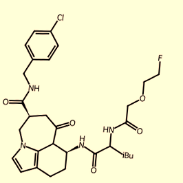 CCC(C)C(NC(=O)COCCF)C(=O)N[C@H]1CCc2ccn3c2C1C(=O)C[C@H](C(=O)NCc1ccc(Cl)cc1)C3